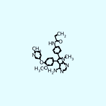 C=CC(=O)Nc1ccc(-c2c(-c3ccc(Oc4ccc(C)nc4)c(OC)c3)c3c(N)ncnc3n2C)cc1